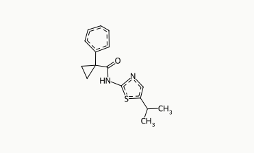 CC(C)c1cnc(NC(=O)C2(c3ccccc3)CC2)s1